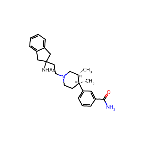 CC(=O)NC1(CCN2CC[C@](C)(c3cccc(C(N)=O)c3)[C@@H](C)C2)Cc2ccccc2C1